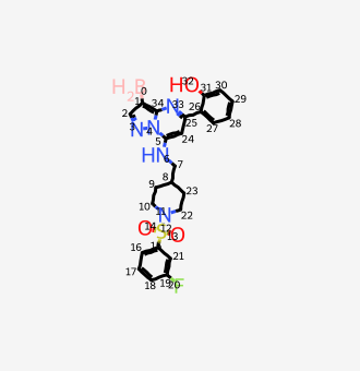 Bc1cnn2c(NCC3CCN(S(=O)(=O)c4cccc(F)c4)CC3)cc(-c3ccccc3O)nc12